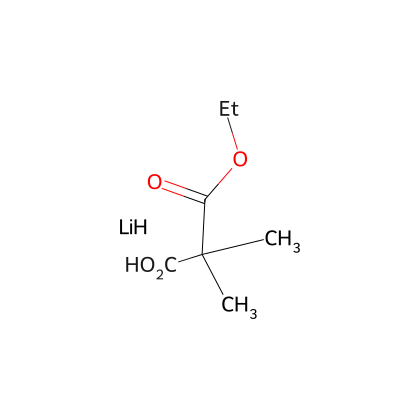 CCOC(=O)C(C)(C)C(=O)O.[LiH]